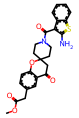 COC(=O)Cc1ccc2c(c1)C(=O)CC1(CCN(C(=O)c3c(N)sc4ccccc34)CC1)O2